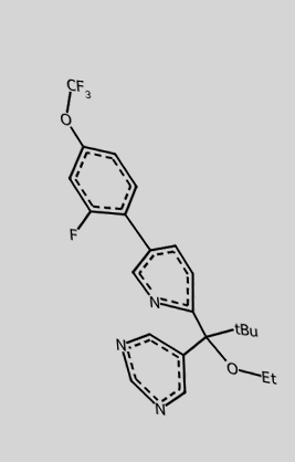 CCOC(c1cncnc1)(c1ccc(-c2ccc(OC(F)(F)F)cc2F)cn1)C(C)(C)C